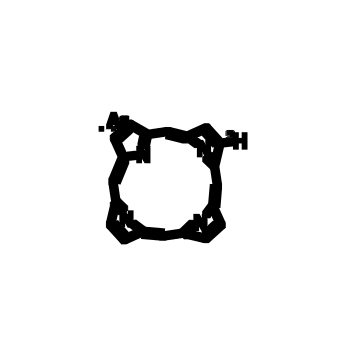 [2H]C1=CC2=CC3=NC(=CC4=NC(=CC5=NC(=CC1=N2)C=C5)C=C4)C=C3.[As]